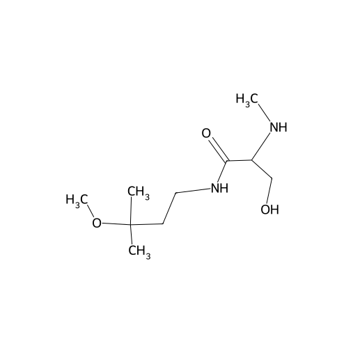 CNC(CO)C(=O)NCCC(C)(C)OC